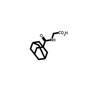 O=C(O)CNC(=O)C12CC3CC(CC(C3)C1)C2